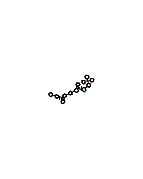 c1ccc(-c2ccc(-n3c4ccccc4c4cc(-c5ccc(-c6ccc7c(c6)c6ccccc6n7-c6cccc(-c7cccc(C(c8ccccc8)(c8ccccc8)c8ccccc8)c7)c6)cc5)ccc43)cc2)cc1